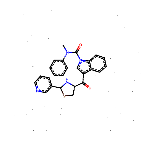 CN(C(=O)n1cc(C(=O)C2CSC(c3cccnc3)N2)c2ccccc21)c1ccccc1